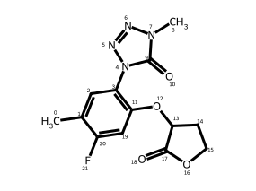 Cc1cc(-n2nnn(C)c2=O)c(OC2CCOC2=O)cc1F